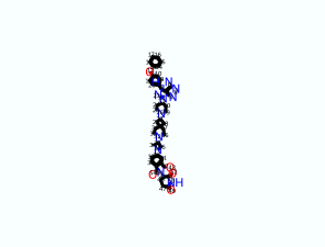 Nc1ncnc2c1c(-c1ccc(Oc3ccccc3)cc1)nn2C1CCN(C2CC3(CCN(C4CN(c5ccc6c(c5)C(=O)N(C5CCC(=O)NC5=O)C6=O)C4)CC3)C2)CC1